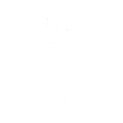 CC(C)c1cc(NC2CCN(C(=O)OC3CCN(C(=O)/C=C/CN(C)C)C3)CC2)c2ncn(C(C)C)c2n1